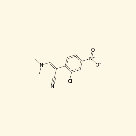 CN(C)C=C(C#N)c1ccc([N+](=O)[O-])cc1Cl